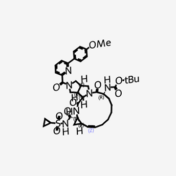 COc1ccc(-c2cccc(C(=O)N3C[C@H]4CN5C(=O)[C@H](NC(=O)OC(C)(C)C)CCCCC/C=C\[C@H]6C[C@@]6(C(=O)NS(=O)(=O)C6CC6)NC(=O)[C@@H]5[C@H]4C3)n2)cc1